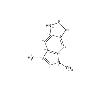 Cc1cn(C)c2cc3c(cc12)NCC3